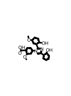 COc1ccc(O)c(-c2nc(-c3ccccc3O)cn2-c2ccc(C(=O)O)c(OC)c2)c1